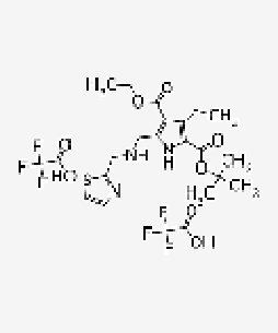 CCOC(=O)c1c(CNCc2nccs2)[nH]c(C(=O)OC(C)(C)C)c1CC.O=C(O)C(F)(F)F.O=C(O)C(F)(F)F